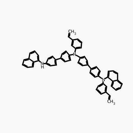 C=Cc1cccc(N(c2ccc(-c3ccc(Nc4cccc5ccccc45)cc3)cc2)c2ccc(-c3ccc(N(c4cccc(C=C)c4)c4cccc5ccccc45)cc3)cc2)c1